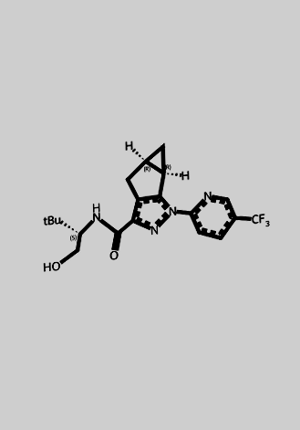 CC(C)(C)[C@@H](CO)NC(=O)c1nn(-c2ccc(C(F)(F)F)cn2)c2c1C[C@H]1C[C@@H]21